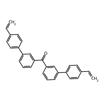 C=Cc1ccc(-c2cccc(C(=O)c3cccc(-c4ccc(C=C)cc4)c3)c2)cc1